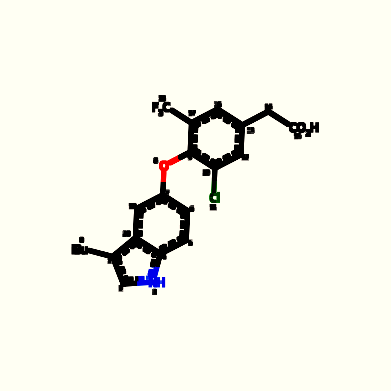 CCC(C)c1c[nH]c2ccc(Oc3c(Cl)cc(CC(=O)O)cc3C(F)(F)F)cc12